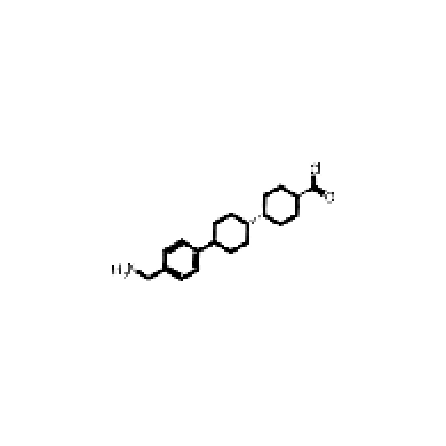 NCc1ccc(C2CCC([C@H]3CC[C@H](C(=O)Cl)CC3)CC2)cc1